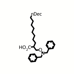 CCCCCCCCCCCCCCCCCCC(CON(Cc1ccccc1)Cc1ccccc1)C(=O)O